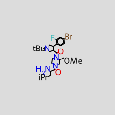 COC[C@H]1CN(C(=O)[C@@H](N)CC(C)C)CCN1C(=O)C1CN(C(C)(C)C)CC1c1ccc(Br)cc1F